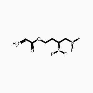 C=CC(=O)OCCC(CN(F)F)N(F)F